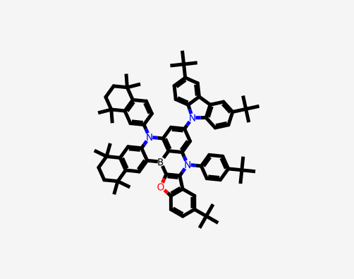 CC(C)(C)c1ccc(N2c3cc(-n4c5ccc(C(C)(C)C)cc5c5cc(C(C)(C)C)ccc54)cc4c3B(c3cc5c(cc3N4c3ccc4c(c3)C(C)(C)CCC4(C)C)C(C)(C)CCC5(C)C)c3oc4ccc(C(C)(C)C)cc4c32)cc1